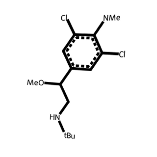 CNc1c(Cl)cc(C(CNC(C)(C)C)OC)cc1Cl